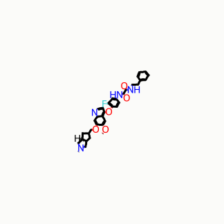 COc1cc2c(Oc3ccc(NC(=O)C(=O)NCCc4ccccc4)cc3F)ccnc2cc1OCC1CC2CN(C)C[C@H]2C1